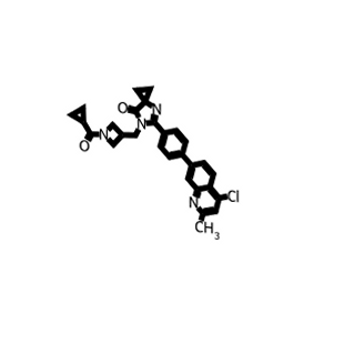 Cc1cc(Cl)c2ccc(-c3ccc(C4=NC5(CC5)C(=O)N4CC4CN(C(=O)C5CC5)C4)cc3)cc2n1